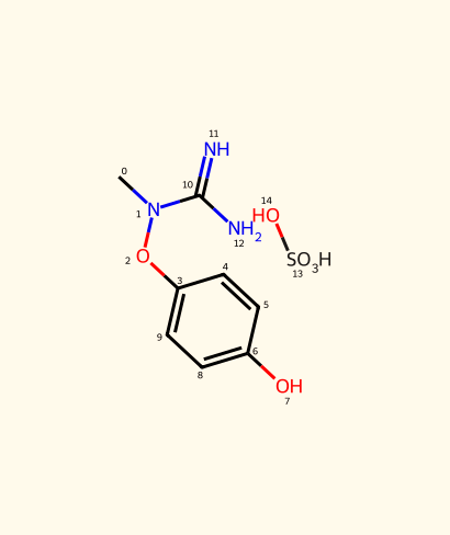 CN(Oc1ccc(O)cc1)C(=N)N.O=S(=O)(O)O